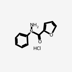 Cl.NN(C(=O)c1ccco1)c1ccccc1